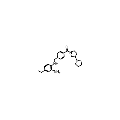 CCc1ccc(NCc2ccc(C(=O)N3CCC(N4CCCC4)C3)cc2)c(N)c1